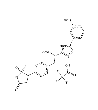 COc1cccc(-c2cnc(C(Cc3ccc(C4CC(=O)NS4(=O)=O)cc3)NC(C)=O)[nH]2)c1.O=C(O)C(F)(F)F